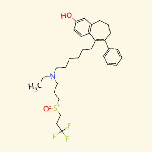 CCN(CCCCCCC1=C(c2ccccc2)CCCc2cc(O)ccc21)CCC[S+]([O-])CCC(F)(F)F